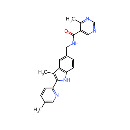 Cc1ccc(-c2[nH]c3ccc(CNC(=O)c4cncnc4C)cc3c2C)nc1